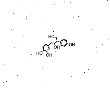 OCC(c1ccc(O)cc1)C(O)Cc1ccc(O)c(O)c1